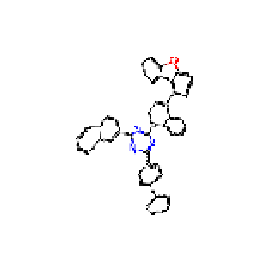 C1=CC2C=CC(c3nc(-c4ccc(-c5ccccc5)cc4)nc(-c4ccc(-c5cccc6oc7ccccc7c56)c5ccccc45)n3)=CC2C=C1